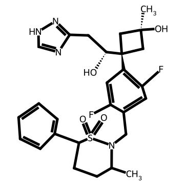 CC1CCC(c2ccccc2)S(=O)(=O)N1Cc1cc(F)c([C@]2([C@H](O)Cc3nc[nH]n3)C[C@](C)(O)C2)cc1F